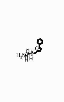 NNC(=O)NN=Cc1ccc(-c2ccccc2)o1